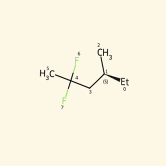 CC[C@H](C)CC(C)(F)F